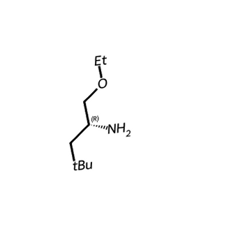 CCOC[C@H](N)CC(C)(C)C